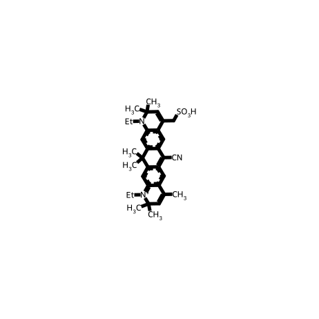 CCN1c2cc3c(cc2C(CS(=O)(=O)O)=CC1(C)C)C(C#N)=c1cc2c(cc1C3(C)C)=[N+](CC)C(C)(C)C=C2C